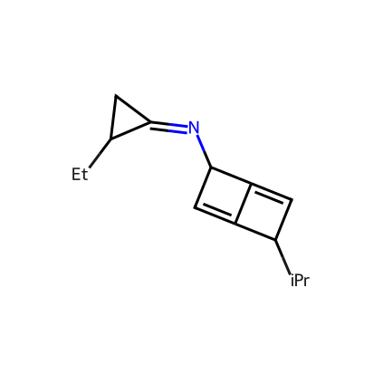 CCC1C/C1=N/C1C=C2C1=CC2C(C)C